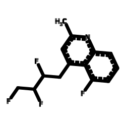 Cc1cc(CC(F)C(F)CF)c2c(F)cccc2n1